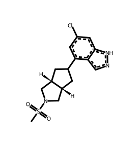 CS(=O)(=O)N1C[C@H]2CC(c3cc(Cl)cc4[nH]ncc34)C[C@H]2C1